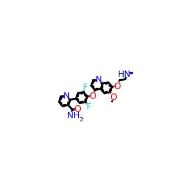 CNCCOc1cc2nccc(Oc3c(F)cc(-c4ncccc4C(N)=O)cc3F)c2cc1OC